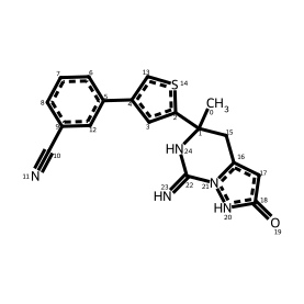 CC1(c2cc(-c3cccc(C#N)c3)cs2)Cc2cc(=O)[nH]n2C(=N)N1